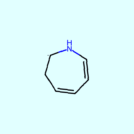 [CH]1CC=CC=CN1